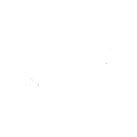 CCCCC(CC)COC(=O)CCCCCCCCCCCCCCCCCOC(=O)c1ccccc1